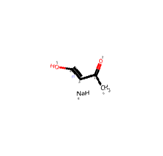 CC(=O)/C=C/O.[NaH]